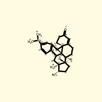 CC(=O)[C@H]1CC[C@H]2[C@@H]3CCC4=CC(=O)CC[C@@]45Cc4cc(N(C)C)ccc4[C@@H](C[C@]12C)[C@@H]35